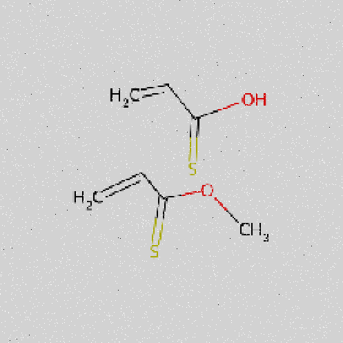 C=CC(=S)OC.C=CC(O)=S